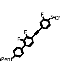 CCCCCc1ccc(-c2ccc(C#Cc3ccc(SC#N)c(F)c3)c(F)c2F)cc1